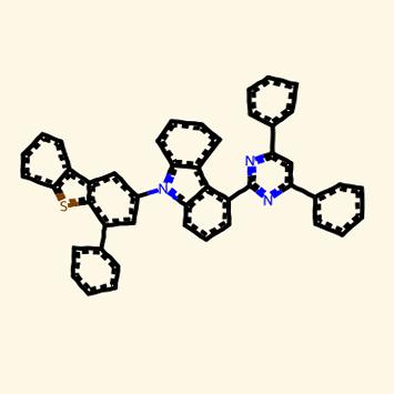 c1ccc(-c2cc(-c3ccccc3)nc(-c3cccc4c3c3ccccc3n4-c3cc(-c4ccccc4)c4sc5ccccc5c4c3)n2)cc1